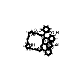 O=C(O)c1ccccc1C1=Cc2cc3ccc(cc4nc(cc5[nH]c(c(-c6ccccc6C(=O)O)c1n2)c(-c1ccccc1C(=O)O)c5-c1ccccc1C(=O)O)C=C4)[nH]3.[Zn]